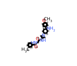 COc1ccc(C2(N)CCC(N3CC(NC(=O)CNC(=O)c4cccc(C)c4)C3)CC2)cc1